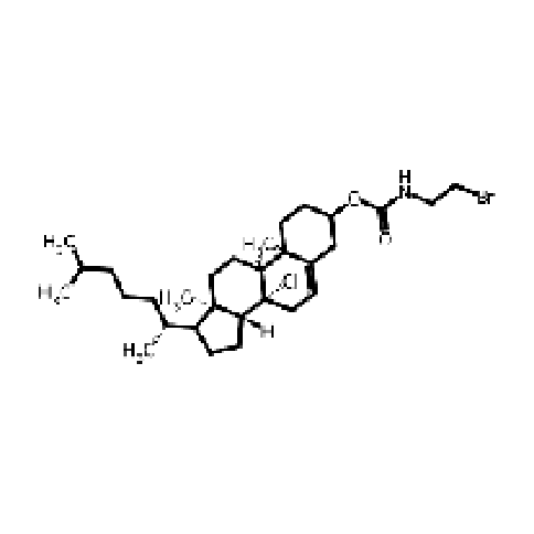 CC(C)CCC[C@@H](C)C1CC[C@H]2[C@]3(C)CC=C4CC(OC(=O)NCCBr)CC[C@]4(C)[C@H]3CC[C@]12C